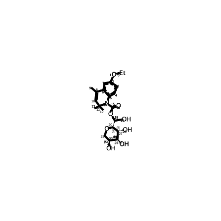 CCOc1ccc2c(c1)C(C)=CC(C)(C)N2C(=O)OC(O)[C@H]1OC[C@H](O)[C@@H](O)[C@H]1O